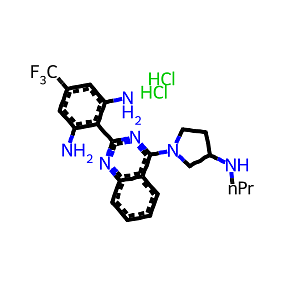 CCCNC1CCN(c2nc(-c3c(N)cc(C(F)(F)F)cc3N)nc3ccccc23)C1.Cl.Cl